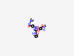 CCN(CC)CCN(C)C(=O)c1ccc(Nc2ncc(C(=O)Nc3c(C)cccc3C)c(Oc3ccc(C(=O)NC(C)C)cc3OC)n2)cc1